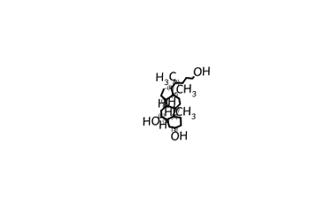 C[C@H](CCCO)[C@H]1CC[C@H]2[C@@H]3C[C@H](O)[C@H]4C[C@@H](O)CC[C@]4(C)[C@H]3CC[C@]12C